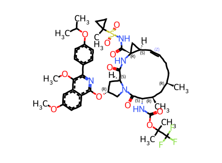 COc1ccc2c(O[C@@H]3C[C@H]4C(=O)N[C@]5(C(=O)NS(=O)(=O)C6(C)CC6)C[C@H]5/C=C\CC[C@@H](C)C[C@@H](C)[C@H](NC(=O)OC(C)(C)C(F)(F)F)C(=O)N4C3)nc(-c3ccc(OC(C)C)cc3)c(OC)c2c1